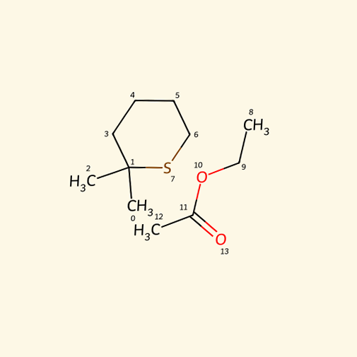 CC1(C)CCCCS1.CCOC(C)=O